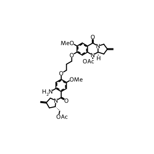 C=C1C[C@@H](COC(C)=O)N(C(=O)c2cc(OC)c(OCCCOc3cc4c(cc3OC)C(=O)N3CC(=C)C[C@H]3N4OC(C)=O)cc2N)C1